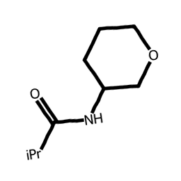 CC(C)C(=O)NC1CCCOC1